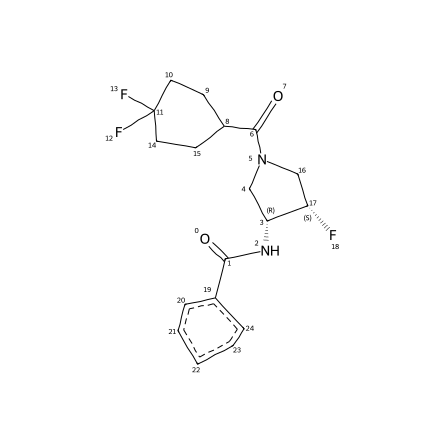 O=C(N[C@@H]1CN(C(=O)C2CCC(F)(F)CC2)C[C@@H]1F)c1ccccc1